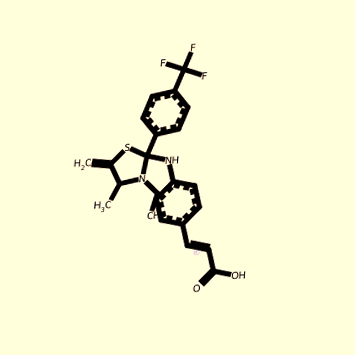 C=C1SC(Nc2ccc(/C=C/C(=O)O)cc2)(c2ccc(C(F)(F)F)cc2)N(CC)C1C